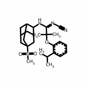 CC(C)c1ccccc1OC(C)(C)/C(=N\C#N)NC1C2CC3CC1CC(S(C)(=O)=O)(C3)C2